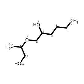 CCCCC(O)COC(C)CO